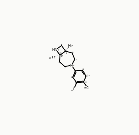 Fc1cc(N2CC[C@@H]3CN[C@@H]3CC2)cnc1Cl